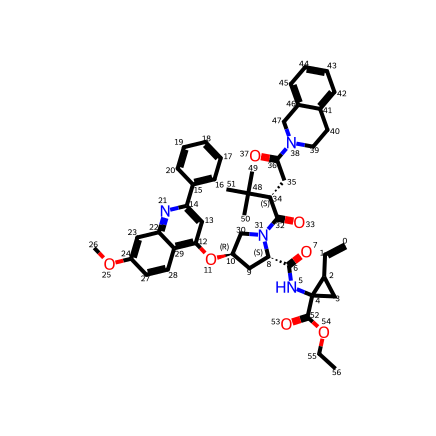 C=CC1CC1(NC(=O)[C@@H]1C[C@@H](Oc2cc(-c3ccccc3)nc3cc(OC)ccc23)CN1C(=O)[C@@H](CC(=O)N1CCc2ccccc2C1)C(C)(C)C)C(=O)OCC